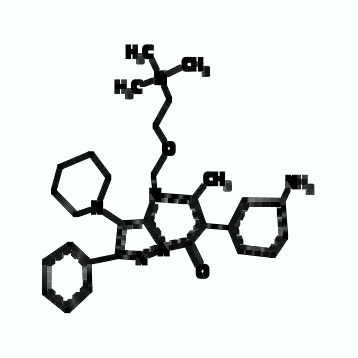 Cc1c(-c2cccc(N)c2)c(=O)n2nc(-c3ccccc3)c(N3CCCCC3)c2n1COCC[Si](C)(C)C